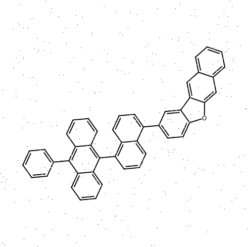 c1ccc(-c2c3ccccc3c(-c3cccc4c(-c5ccc6oc7cc8ccccc8cc7c6c5)cccc34)c3ccccc23)cc1